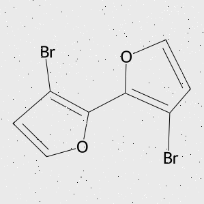 Brc1ccoc1-c1occc1Br